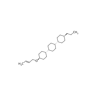 C/C=C/CO[C@H]1CC[C@H](C2CCC([C@H]3CC[C@H](CCC)CC3)CC2)CC1